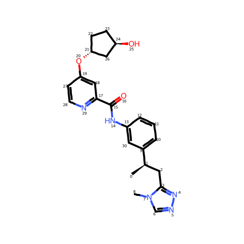 C[C@H](Cc1nncn1C)c1cccc(NC(=O)c2cc(O[C@@H]3CC[C@@H](O)C3)ccn2)c1